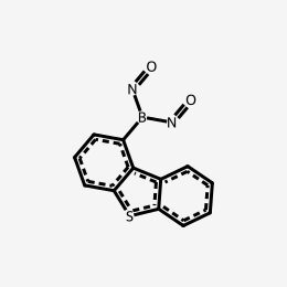 O=NB(N=O)c1cccc2sc3ccccc3c12